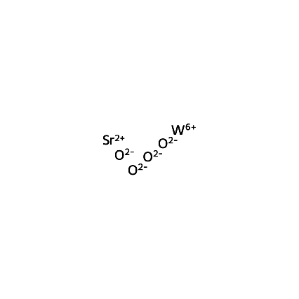 [O-2].[O-2].[O-2].[O-2].[Sr+2].[W+6]